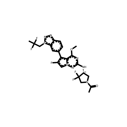 COc1nc(N[C@@H]2CN(C(C)=O)CC2(F)F)nn2cc(F)c(-c3ccc4nnn(CC(C)(F)F)c4c3)c12